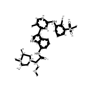 COC[C@@H](C(=O)Nc1cccc2c(-c3nc(Nc4cccc(S(C)(=O)=O)c4F)ncc3C)c[nH]c12)N1C[C@H](C)N(C)[C@@H](C)C1